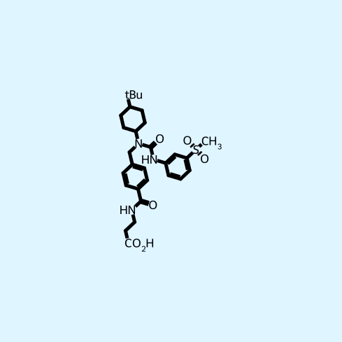 CC(C)(C)C1CCC(N(Cc2ccc(C(=O)NCCC(=O)O)cc2)C(=O)Nc2cccc(S(C)(=O)=O)c2)CC1